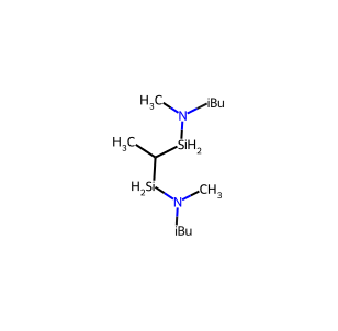 CCC(C)N(C)[SiH2]C(C)[SiH2]N(C)C(C)CC